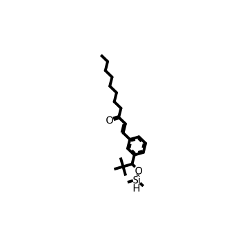 CCCCCCCCC(=O)C=Cc1cccc(C(O[SiH](C)C)C(C)(C)C)c1